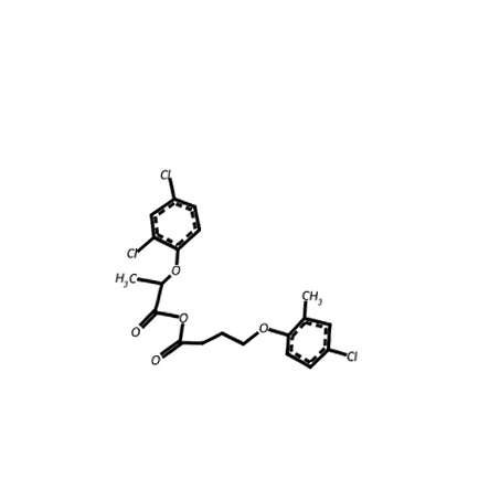 Cc1cc(Cl)ccc1OCCCC(=O)OC(=O)C(C)Oc1ccc(Cl)cc1Cl